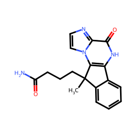 CC1(CCCC(N)=O)c2ccccc2-c2[nH]c(=O)c3nccn3c21